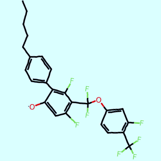 CCCCCc1ccc(-c2c([O])cc(F)c(C(F)(F)Oc3ccc(C(F)(F)F)c(F)c3)c2F)cc1